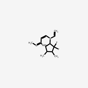 C=CN(/C=C\C(=N/C)NC)C1CC(C)C(C)C1(F)F